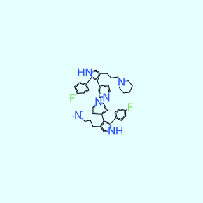 CN(C)CCCc1c[nH]c(-c2ccc(F)cc2)c1-c1ccncc1.Fc1ccc(-c2[nH]cc(CCCN3CCCCC3)c2-c2ccncc2)cc1